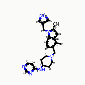 Cc1c(CN2CCC(Nc3ccncn3)CC2)ccc2c1cc(C#N)n2Cc1cn[nH]c1